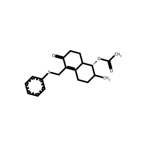 CC(=O)O[C@@H]1C(C)CCC2=C(CSc3ccccc3)C(=O)CCC21